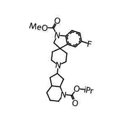 COC(=O)N1CC2(CCN(C3CC4CCCN(C(=O)OC(C)C)C4C3)CC2)c2cc(F)ccc21